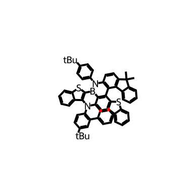 CC(C)(C)c1ccc(N2B3c4sc5ccccc5c4N(c4ccc(C(C)(C)C)cc4-c4ccccc4)c4cc5c(sc6ccccc65)c(c43)-c3c2ccc2c3-c3ccccc3C2(C)C)cc1